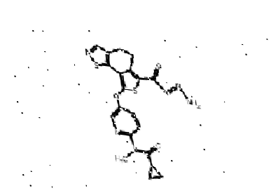 CN(C(=O)C1CC1)c1ccc(Oc2sc(C(=O)N=NN)c3c2-c2sncc2CC3)cn1